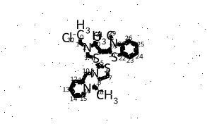 CCN1CS(=C2SCCN2Cc2cccc[n+]2CC)C(=C2Sc3ccccc3N2C)C1=O.[Cl-]